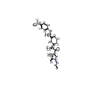 C=C/C=c1/cc(C(=O)N(CC)[C@H]2CCC[C@@H](NCc3ccc([S+](C)[O-])cc3)C2)[nH]c1=C